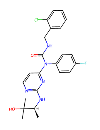 C[C@H](Nc1nccc(N(C(=O)NCc2ccccc2Cl)c2ccc(F)cc2)n1)C(C)(C)O